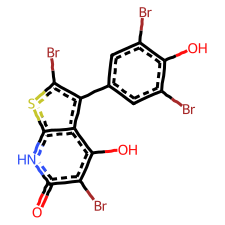 O=c1[nH]c2sc(Br)c(-c3cc(Br)c(O)c(Br)c3)c2c(O)c1Br